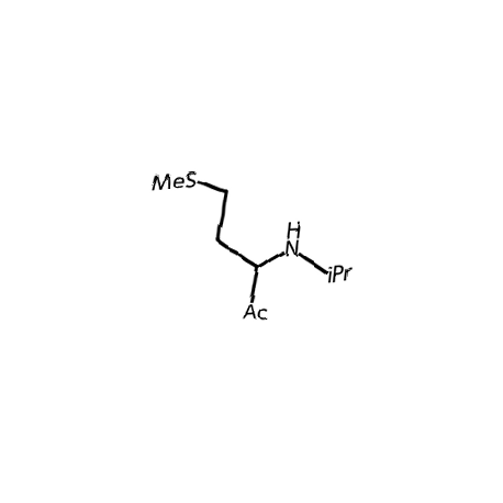 CSCCC(NC(C)C)C(C)=O